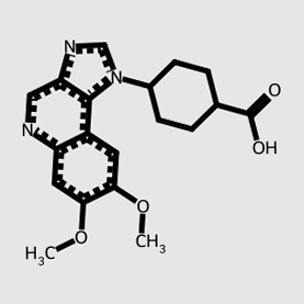 COc1cc2ncc3ncn(C4CCC(C(=O)O)CC4)c3c2cc1OC